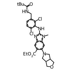 CCOC(=O)c1cc2nc(Nc3c(Cl)ccc(CNC(=O)C(C)(C)C)c3Cl)n(C)c2cc1N1CC2COCC2C1